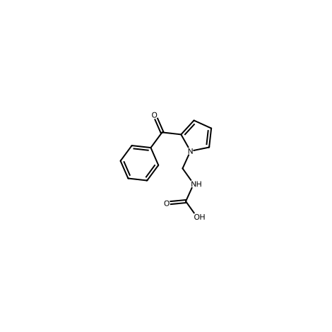 O=C(O)NCn1cccc1C(=O)c1ccccc1